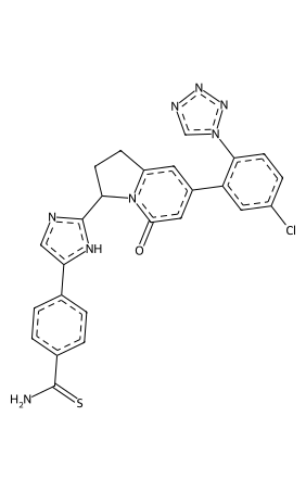 NC(=S)c1ccc(-c2cnc(C3CCc4cc(-c5cc(Cl)ccc5-n5cnnn5)cc(=O)n43)[nH]2)cc1